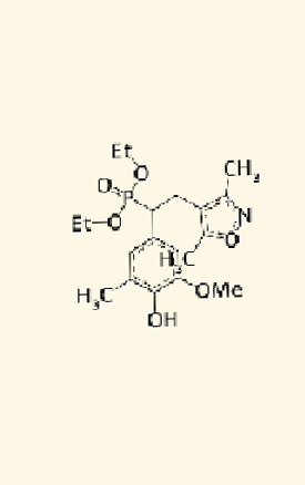 CCOP(=O)(OCC)C(Cc1c(C)noc1C)c1cc(C)c(O)c(OC)c1